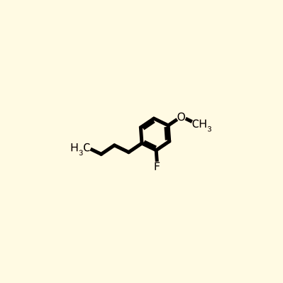 CCCCc1ccc(OC)cc1F